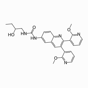 CCC(O)CNC(=O)Nc1ccc2nc(-c3cccnc3OC)c(-c3cccnc3OC)cc2c1